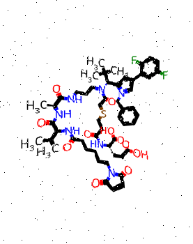 CC(C)C(NC(=O)CCCCCN1C(=O)C=CC1=O)C(=O)N[C@@H](C)C(=O)NCCCN(C(=O)CSCCC(=O)N[C@@H](CCC(=O)O)C(=O)O)[C@@H](c1cc(-c2cc(F)ccc2F)cn1Cc1ccccc1)C(C)(C)C